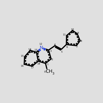 Cc1cc(/C=C/c2ccccc2)nc2ccccc12